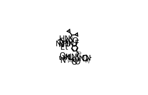 CCn1nccc1C(=O)N[C@H](C(=O)Nc1ccc([C@H](C)[C@@H](NC(=O)[C@H](C)N(C)C2=NCCO2)C(=O)N2CCN(C)[C@H](C)C2)cc1F)C(C1CC1)C1CC1